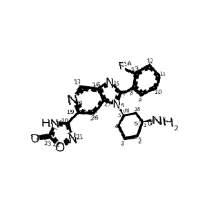 N[C@H]1CCC[C@@H](n2c(-c3ccccc3F)nc3cnc(-c4noc(=O)[nH]4)cc32)C1